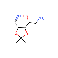 CC1(C)O[C@H]([C@H](O)CN)[C@@H](C=N)O1